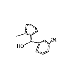 Cc1ccccc1C(O)c1cccc(C#N)c1